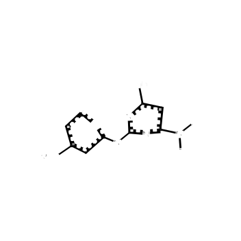 CCCc1cc(N(CC)CC)nc(Nc2cccc(SC)c2)n1